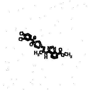 COC(=O)c1cccc2c(NC(C)CN3CCN(S(=O)(=O)c4ccc(Cl)c(Cl)c4)CC3)ncnc12